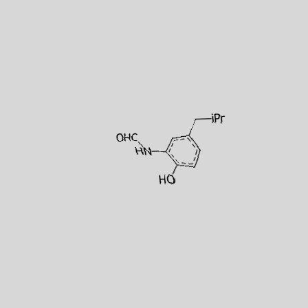 CC(C)Cc1ccc(O)c(NC=O)c1